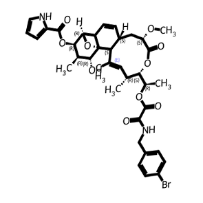 CO[C@H]1C[C@H]2C=CC3C4[C@H](O)[C@@H](C)[C@@H](OC(=O)c5ccc[nH]5)[C@@H]3O[C@]42/C(C)=C/[C@@H](C)[C@@H]([C@@H](C)OC(=O)C(=O)NCc2ccc(Br)cc2)OC1=O